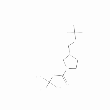 CC(C)(C)OC(=O)N1CC[C@H](CSC(F)(F)F)C1